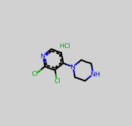 Cl.Clc1nccc(N2CCNCC2)c1Cl